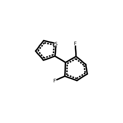 Fc1cccc(F)c1-c1cccs1